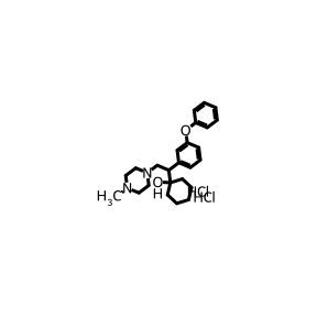 CN1CCN(CC(c2cccc(Oc3ccccc3)c2)C2(O)CCCCC2)CC1.Cl.Cl